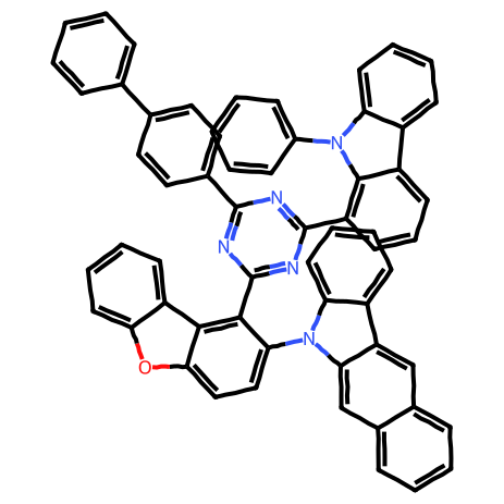 c1ccc(-c2ccc(-c3nc(-c4c(-n5c6ccccc6c6cc7ccccc7cc65)ccc5oc6ccccc6c45)nc(-c4cccc5c6ccccc6n(-c6ccccc6)c45)n3)cc2)cc1